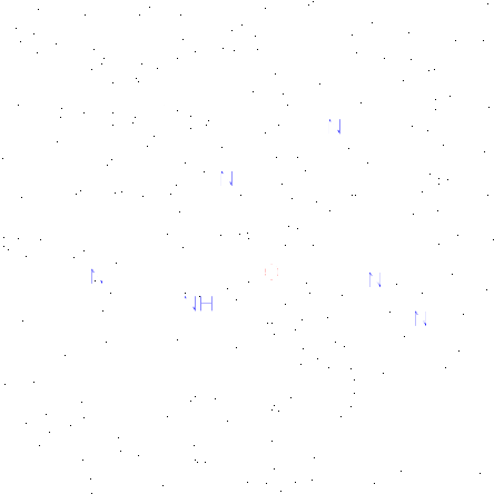 C=C1C[C@@H](c2nc3cccc(C)c3[nH]2)N(C(=O)c2nc(C)ccc2-n2cccn2)C1